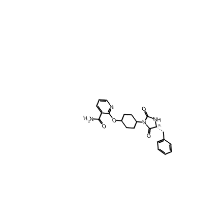 NC(=O)c1cccnc1OC1CCC(N2C(=O)N[C@H](Cc3ccccc3)C2=O)CC1